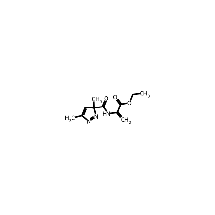 C=C(NC(=O)C1(C)C=C(C)N=N1)C(=O)OCC